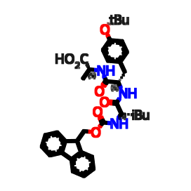 CCC(C)[C@H](NC(=O)OCC1c2ccccc2-c2ccccc21)C(=O)N[C@@H](Cc1ccc(OC(C)(C)C)cc1)C(=O)N[C@@H](C)C(=O)O